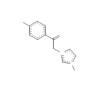 Cc1ccc(C(=O)C[n+]2ccn(C)c2)cc1.[Cl-]